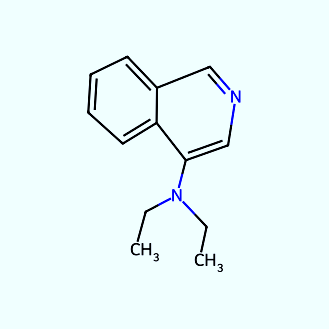 CCN(CC)c1cncc2ccccc12